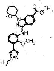 COC(=O)c1ccc2c(Nc3cccc(-c4cnn(C)c4)c3OC)nn(C3CCCCO3)c2c1